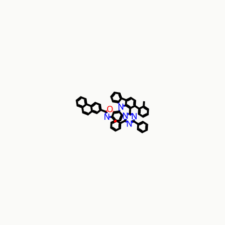 Cc1ccccc1-c1ccc2c3ccccc3n(-c3cccc4nc(-c5ccc6c(ccc7ccccc76)c5)oc34)c2c1-c1nc(-c2ccccc2)nc(-c2ccccc2)n1